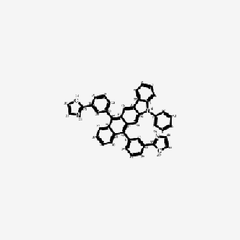 c1ccc(-n2c3ccccc3c3cc4c(-c5cccc(-c6ncco6)c5)c5ccccc5c(-c5cccc(-c6ncco6)c5)c4cc32)cc1